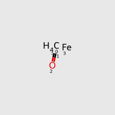 C.[C]=O.[Fe]